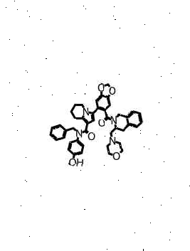 O=C(c1cc(-c2cc3c(cc2C(=O)N2Cc4ccccc4CC2CN2CCOCC2)OCO3)n2c1CCCC2)N(Cc1ccccc1)c1ccc(O)cc1